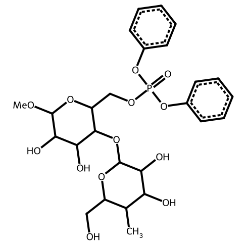 COC1OC(COP(=O)(Oc2ccccc2)Oc2ccccc2)C(OC2OC(CO)C(C)C(O)C2O)C(O)C1O